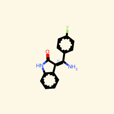 N/C(=C1/C(=O)Nc2ccccc21)c1ccc(F)cc1